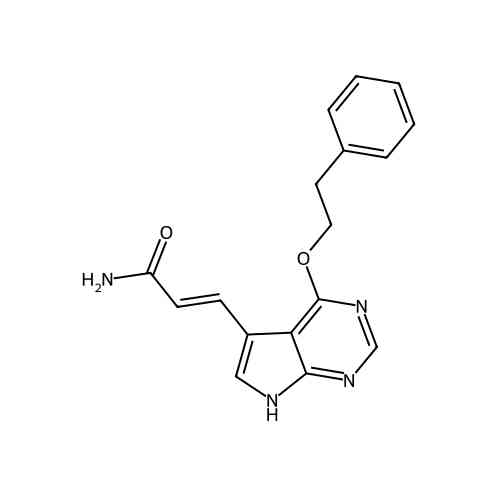 NC(=O)C=Cc1c[nH]c2ncnc(OCCc3ccccc3)c12